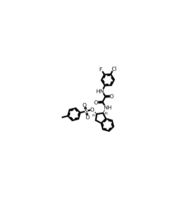 Cc1ccc(S(=O)(=O)O[C@H]2Cc3ccccc3[C@H]2NC(=O)C(=O)Nc2ccc(Cl)c(F)c2)cc1